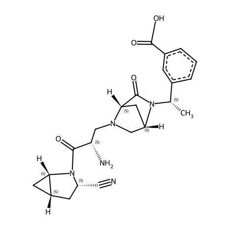 C[C@@H](c1cccc(C(=O)O)c1)N1C(=O)[C@@H]2C[C@H]1CN2C[C@H](N)C(=O)N1[C@H](C#N)C[C@@H]2C[C@@H]21